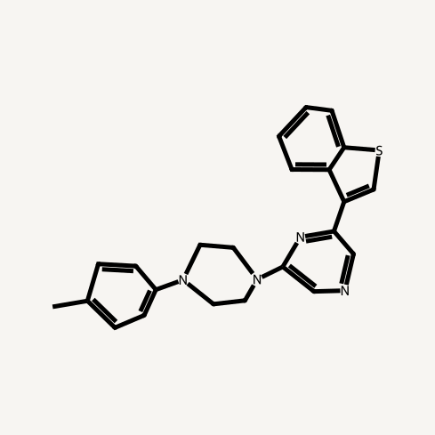 Cc1ccc(N2CCN(c3cncc(-c4csc5ccccc45)n3)CC2)cc1